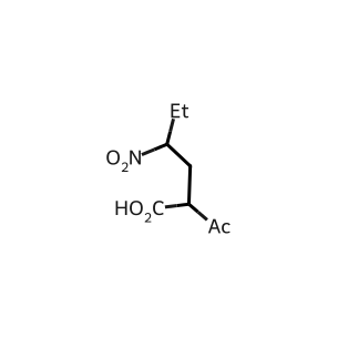 CCC(CC(C(C)=O)C(=O)O)[N+](=O)[O-]